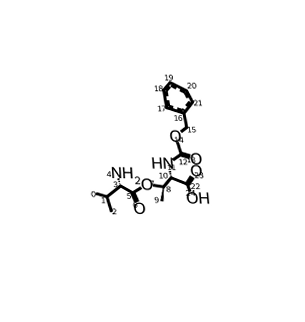 CC(C)[C@H](N)C(=O)O[C@H](C)[C@H](NC(=O)OCc1ccccc1)C(=O)O